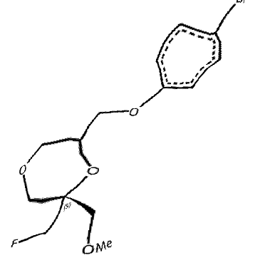 COC[C@@]1(CF)COCC(COc2ccc(Br)cc2)O1